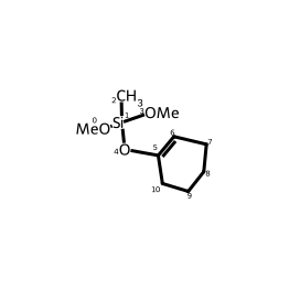 CO[Si](C)(OC)OC1=CCCCC1